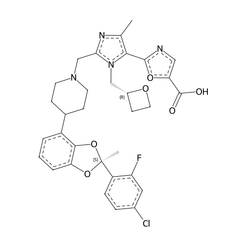 Cc1nc(CN2CCC(c3cccc4c3O[C@@](C)(c3ccc(Cl)cc3F)O4)CC2)n(C[C@H]2CCO2)c1-c1ncc(C(=O)O)o1